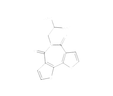 CCCCCCCCCCC(CCCCCCCC)Cn1c(=O)c2ccsc2c2sccc2c1=O